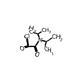 CC(C)N(C(=O)C(=O)Cl)C(C)C